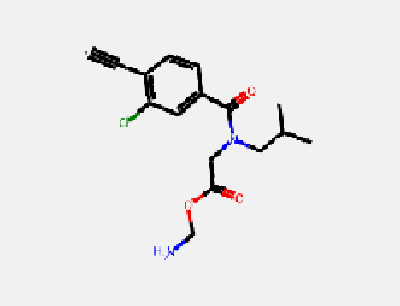 [C]#Cc1ccc(C(=O)N(CC(=O)OCN)CC(C)C)cc1Cl